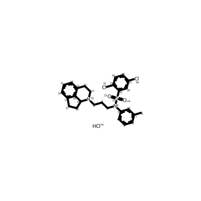 Cc1cccc(N(CCCN2CCc3cccc4c3C2CC4)S(=O)(=O)c2cc(Cl)ccc2Cl)c1.Cl